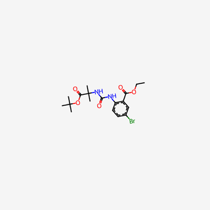 CCOC(=O)c1cc(Br)ccc1NC(=O)NC(C)(C)C(=O)OC(C)(C)C